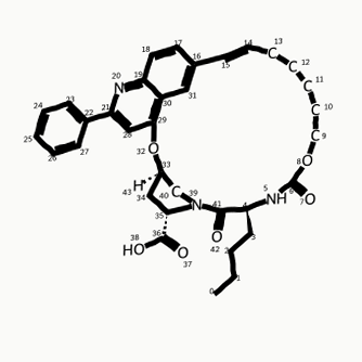 CCCC[C@@H]1NC(=O)OCCCCC/C=C/c2ccc3nc(-c4ccccc4)cc(c3c2)O[C@@H]2C[C@@H](C(=O)O)N(C2)C1=O